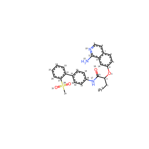 CC(C)CC(Oc1ccc2ccnc(N)c2c1)C(=O)Nc1ccc(-c2ccccc2S(C)(=O)=O)cc1